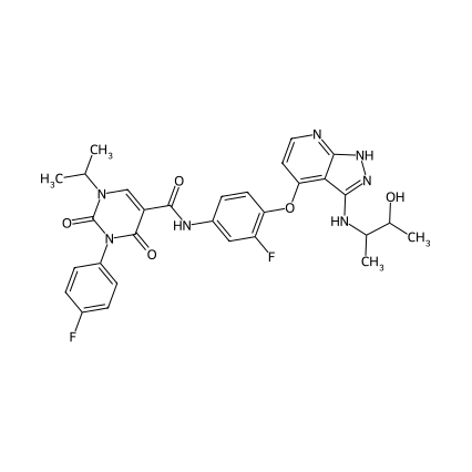 CC(O)C(C)Nc1n[nH]c2nccc(Oc3ccc(NC(=O)c4cn(C(C)C)c(=O)n(-c5ccc(F)cc5)c4=O)cc3F)c12